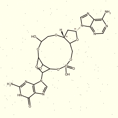 Nc1nc2c(ncn2C2OC3OC(O)CO[C@@H]4C[C@H](n5cnc6c(N)ncnc65)OC4COP(=O)(O)OC2C3O)c(=O)[nH]1